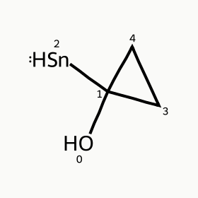 O[C]1([SnH])CC1